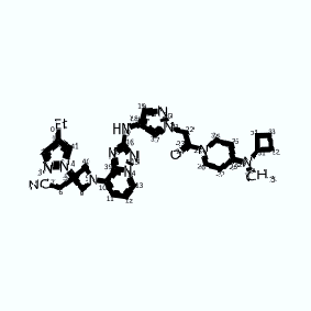 CCc1cnn(C2(CC#N)CN(c3cccn4nc(Nc5cnn(CC(=O)N6CCC(N(C)C7CCC7)CC6)c5)nc34)C2)c1